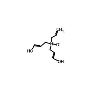 C=CC[N+]([O-])(CC=CO)CC=CO